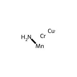 [Cr].[Cu].[NH2][Mn]